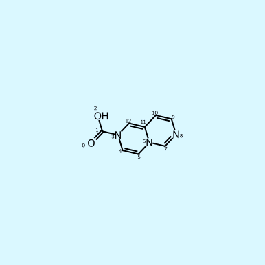 O=C(O)N1C=CN2C=NC=CC2=C1